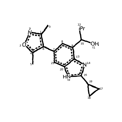 Cc1noc(C)c1-c1cc(C(O)C(C)C)c2nc(C3CC3)[nH]c2c1